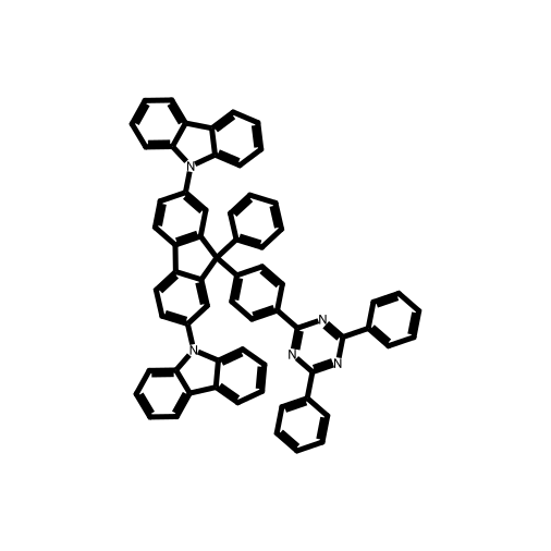 c1ccc(-c2nc(-c3ccccc3)nc(-c3ccc(C4(c5ccccc5)c5cc(-n6c7ccccc7c7ccccc76)ccc5-c5ccc(-n6c7ccccc7c7ccccc76)cc54)cc3)n2)cc1